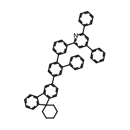 c1ccc(-c2cc(-c3ccccc3)nc(-c3cccc(-c4ccc(-c5ccc6c(c5)-c5ccccc5C65CCCCC5)cc4-c4ccccc4)c3)c2)cc1